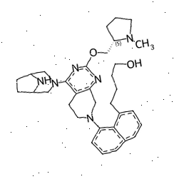 CN1CCC[C@H]1COc1nc2c(c(N3CC4CCC(C3)N4)n1)CCN(c1cccc3cccc(CCCCO)c13)C2